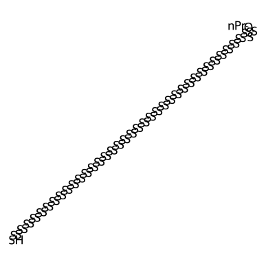 CCCOS(=S)(=S)SSSSSSSSSSSSSSSSSSSSSSSSSSSSSSSSSSSSSSSSSSSSSSSSSSSSSSSSSSSSSSSSSSSSSSSSSS